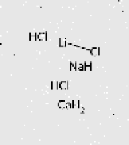 Cl.Cl.[CaH2].[Li][Cl].[NaH]